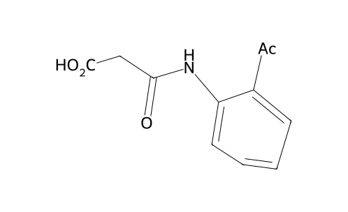 CC(=O)c1ccccc1NC(=O)CC(=O)O